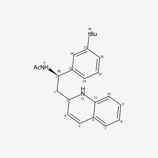 CC(=O)N[C@H](CC1C=Cc2ccccc2N1)c1cccc(C(C)(C)C)c1